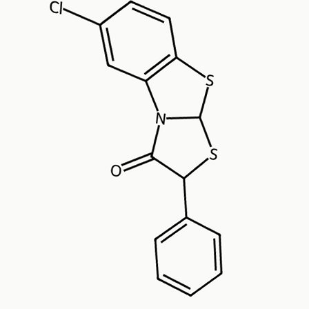 O=C1C(c2ccccc2)SC2Sc3ccc(Cl)cc3N12